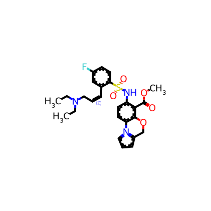 CCN(CC)C/C=C\c1cc(F)ccc1S(=O)(=O)Nc1ccc2c(c1C(=O)OC)OCc1cccn1-2